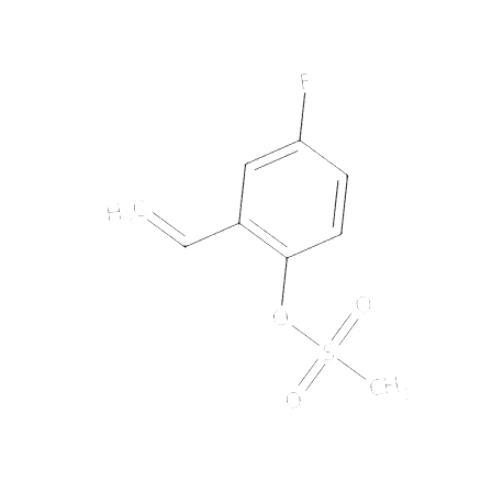 C=Cc1cc(F)ccc1OS(C)(=O)=O